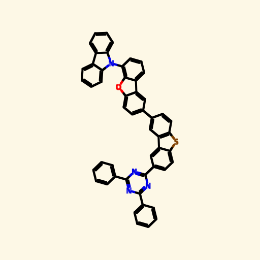 c1ccc(-c2nc(-c3ccccc3)nc(-c3ccc4sc5ccc(-c6ccc7oc8c(-n9c%10ccccc%10c%10ccccc%109)cccc8c7c6)cc5c4c3)n2)cc1